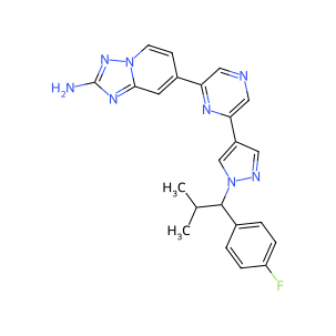 CC(C)C(c1ccc(F)cc1)n1cc(-c2cncc(-c3ccn4nc(N)nc4c3)n2)cn1